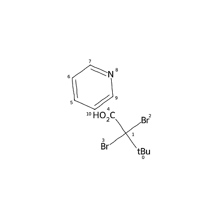 CC(C)(C)C(Br)(Br)C(=O)O.c1ccncc1